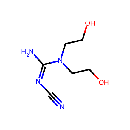 N#C/N=C(/N)N(CCO)CCO